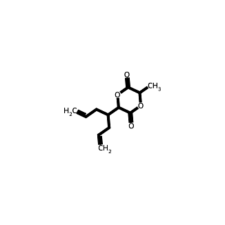 C=CCC(CC=C)C1OC(=O)C(C)OC1=O